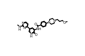 CNc1nccc(-c2c[nH]c(=O)c(NC(=O)c3ccc(N4CCN(CCCOC)CC4)cc3)c2)n1